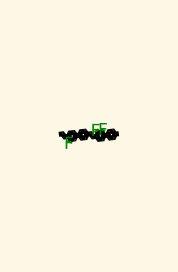 CCCC1CCC(C2CCC(CCC3CCC(C4CCC(C)CC4)C(F)C3F)CC2)CC1F